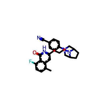 Cc1ccc(F)c2c(=O)[nH]c(CCCN3C4CCC3CN(c3ccc(C#N)cc3)C4)cc12